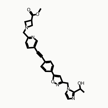 COC(=O)C1CN(Cc2ccc(C#Cc3ccc(-c4cc(Cn5ccnc5C(C)O)no4)cc3)cn2)C1